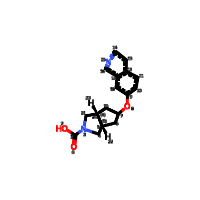 O=C(O)N1C[C@H]2CC(Oc3ccc4ccncc4c3)C[C@H]2C1